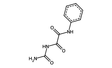 NC(=O)NC(=O)C(=O)Nc1ccccc1